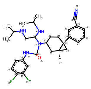 CC(C)NCC(NC(C)C)N(C(=O)Nc1ccc(F)c(F)c1)C1CC[C@]2(c3cccc(C#N)c3)C[C@H]2C1